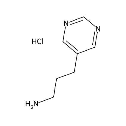 Cl.NCCCc1cncnc1